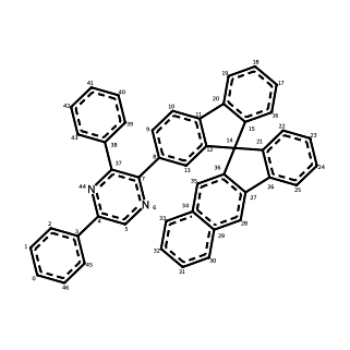 c1ccc(-c2cnc(-c3ccc4c(c3)C3(c5ccccc5-4)c4ccccc4-c4cc5ccccc5cc43)c(-c3ccccc3)n2)cc1